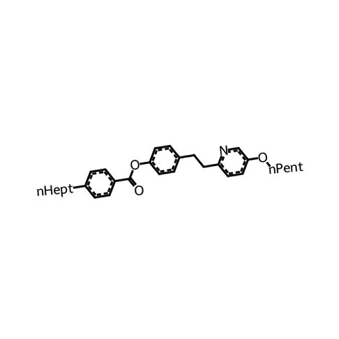 CCCCCCCc1ccc(C(=O)Oc2ccc(CCc3ccc(OCCCCC)cn3)cc2)cc1